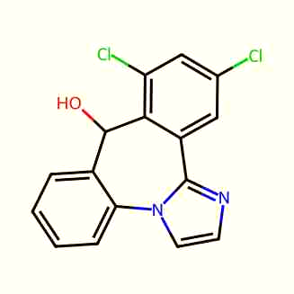 OC1c2ccccc2-n2ccnc2-c2cc(Cl)cc(Cl)c21